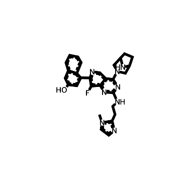 Cn1ccnc1CCNc1nc(N2CC3CCC(C2)N3)c2cnc(-c3cc(O)cc4ccccc34)c(F)c2n1